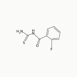 NC(=S)NC(=O)c1ccccc1F